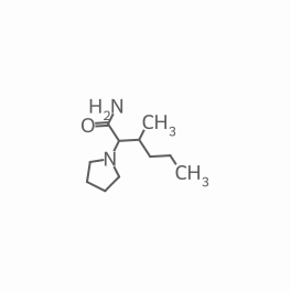 CCCC(C)C(C(N)=O)N1CCCC1